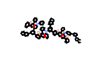 c1ccc(N(c2ccc(-c3cc(-c4ccc5ccccc5c4)cc(-c4cccc5c4oc4c(-c6ccccc6N(c6ccccc6)c6cc(-c7ccc8ccccc8c7)cc(-c7ccc8c(c7)oc7c(-c9ccccc9N(c9ccc(-c%10cccc(-c%11ccc%12ccccc%12c%11)c%10)cc9)c9cccc%10c9oc9ccccc9%10)cccc78)c6)cccc45)c3)cc2)c2ccccc2-c2cccc3c2oc2ccccc23)cc1